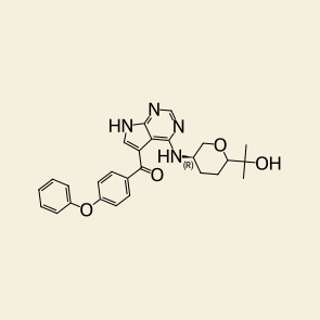 CC(C)(O)C1CC[C@@H](Nc2ncnc3[nH]cc(C(=O)c4ccc(Oc5ccccc5)cc4)c23)CO1